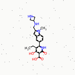 CCc1c(-c2ccc3c(c2)cc(CNC2CNC2)n3C)[nH]c(=O)c(C(=O)O)c1O